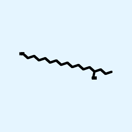 CCCC(O)CCCCCCCCCCCCO